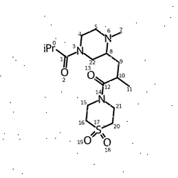 CC(C)C(=O)N1CCN(C)C(CC(C)C(=O)N2CCS(=O)(=O)CC2)C1